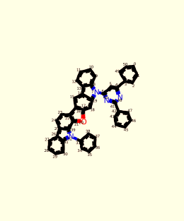 c1ccc(-c2cc(-n3c4ccccc4c4cc5c(cc43)oc3c5ccc4c5ccccc5n(-c5ccccc5)c43)nc(-c3ccccc3)n2)cc1